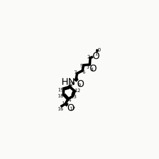 COCC(=O)CCCC(=O)Nc1ccc(C(C)=O)cc1